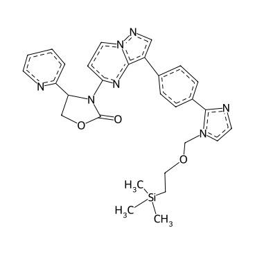 C[Si](C)(C)CCOCn1ccnc1-c1ccc(-c2cnn3ccc(N4C(=O)OCC4c4ccccn4)nc23)cc1